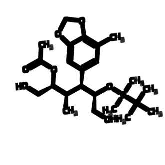 CC(=O)O[C@H](CO)[C@H](C)[C@@H](c1cc(C)c2c(c1)OCO2)[C@H](CO)O[Si](C)(C)C(C)(C)C